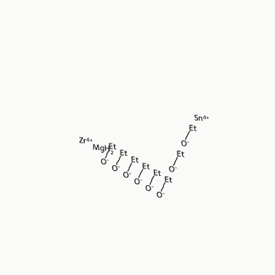 CC[O-].CC[O-].CC[O-].CC[O-].CC[O-].CC[O-].CC[O-].CC[O-].[MgH2].[Sn+4].[Zr+4]